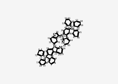 c1ccc([Si](c2ccccc2)(c2ccccc2)c2ccc3c(c2)c2cccnc2n3-c2ccc3scc(-n4c5ccc([Si](c6ccccc6)(c6ccccc6)c6ccccc6)cc5c5cccnc54)c3c2)cc1